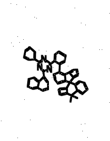 CC1(C)c2ccccc2C2(c3ccccc3-c3c(-c4ccccc4-c4nc(-c5ccccc5)nc(-c5cccc6ccccc56)n4)cccc32)c2ccccc21